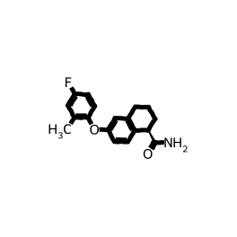 Cc1cc(F)ccc1Oc1ccc2c(c1)CCC[C@H]2C(N)=O